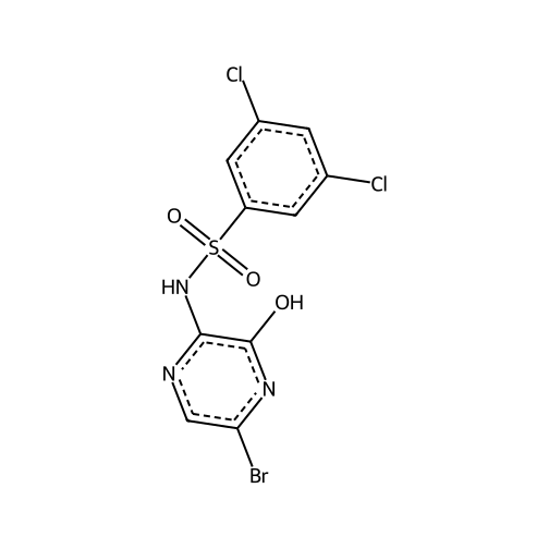 O=S(=O)(Nc1ncc(Br)nc1O)c1cc(Cl)cc(Cl)c1